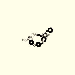 CCCCN1O[C@@H](CC2CCCCC2)NOC12CCN(Cc1ccc(Oc3ccc(N(C)C)cc3)cc1)CC2